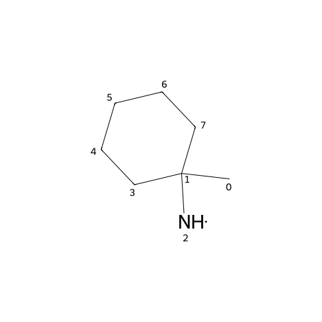 CC1([NH])CCCCC1